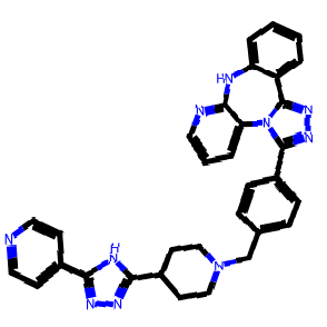 c1ccc2c(c1)Nc1ncccc1-n1c(-c3ccc(CN4CCC(c5nnc(-c6ccncc6)[nH]5)CC4)cc3)nnc1-2